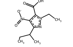 CCC(C)c1nn(CC)c(C(=O)O)c1[N+](=O)[O-]